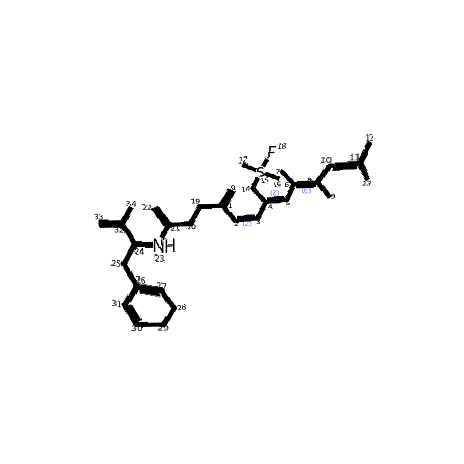 C=C(\C=C/C(=C/C(C)=C(\C)C=C(C)C)CS(C)(C)F)CCC(=C)NC(CC1=CCCC=C1)C(=C)C